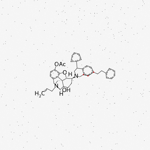 C=CCN1CC[C@]23c4c5ccc(OC(C)=O)c4O[C@H]2[C@@H](N(CCCCCCc2ccccc2)CC(c2ccccc2)c2ccccc2)CC[C@@]3(O)[C@H]1C5